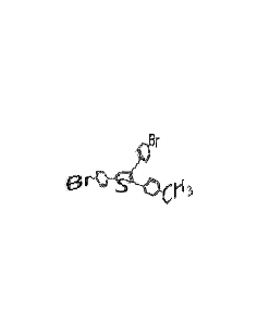 Cc1ccc(-c2sc(-c3ccc(Br)cc3)cc2-c2ccc(Br)cc2)cc1